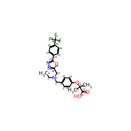 CCN(Cc1ccc(OC(C)(C)C(=O)O)cc1)Cc1nnc(-c2ccc(C(F)(F)F)cc2)o1